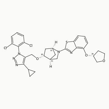 Clc1cccc(Cl)c1-n1nnc(C2CC2)c1CO[C@@H]1C[C@@H]2C[C@H]1CN2c1nc2c(O[C@@H]3CCOC3)cccc2s1